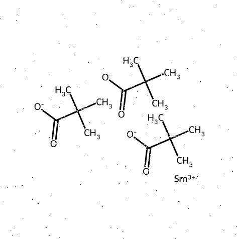 CC(C)(C)C(=O)[O-].CC(C)(C)C(=O)[O-].CC(C)(C)C(=O)[O-].[Sm+3]